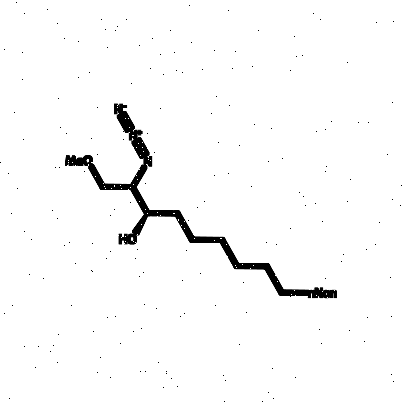 CCCCCCCCCCCCCCC[C@@H](O)C(COC)N=[N+]=[N-]